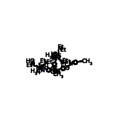 CC#Cc1ccc(N(CC)CCOc2ccc(/C=N/N(C)P(=S)(Oc3ccc(/C=N/N(C)P(=S)(NCCN(CC)CC)NCCN(CC)CC)cc3)Oc3ccc(/C=N/N(C)P(=S)(NCCN(CC)CC)NCCN(CC)CO)cc3)cc2)cc1